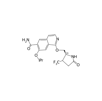 CC(C)Oc1cc2c(OC[C@H]3NC(=O)CC3C(F)(F)F)nccc2cc1C(N)=O